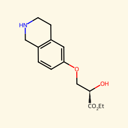 CCOC(=O)[C@H](O)COc1ccc2c(c1)CCNC2